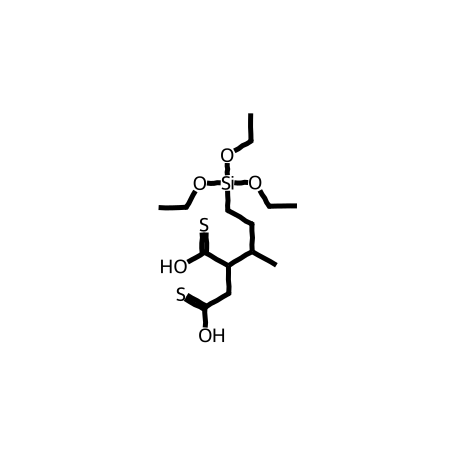 CCO[Si](CCC(C)C(CC(O)=S)C(O)=S)(OCC)OCC